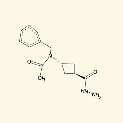 NNC(=O)[C@H]1C[C@H](N(Cc2ccccc2)C(=O)O)C1